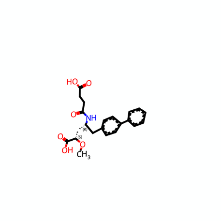 CO[C@@H](C[C@@H](Cc1ccc(-c2ccccc2)cc1)NC(=O)CCC(=O)O)C(=O)O